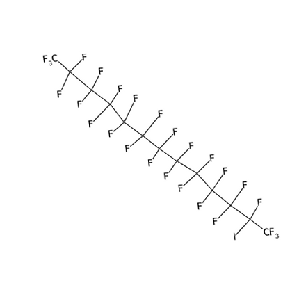 FC(F)(F)C(F)(F)C(F)(F)C(F)(F)C(F)(F)C(F)(F)C(F)(F)C(F)(F)C(F)(F)C(F)(F)C(F)(F)C(F)(I)C(F)(F)F